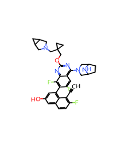 C#Cc1c(F)ccc2cc(O)cc(-c3c(F)cc4c(N5CC6CCC(C5)N6)nc(OCC5(CN6CC7CC7C6)CC5)nc4c3F)c12